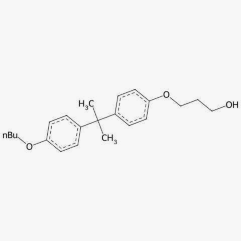 CCCCOc1ccc(C(C)(C)c2ccc(OCCCO)cc2)cc1